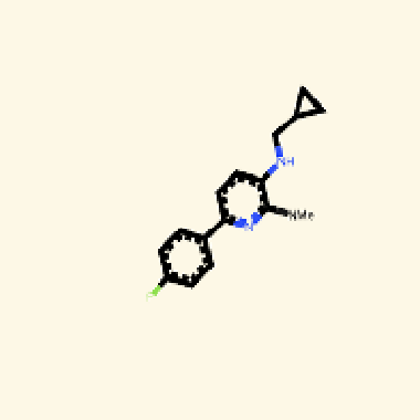 CNc1nc(-c2ccc(F)cc2)ccc1NCC1CC1